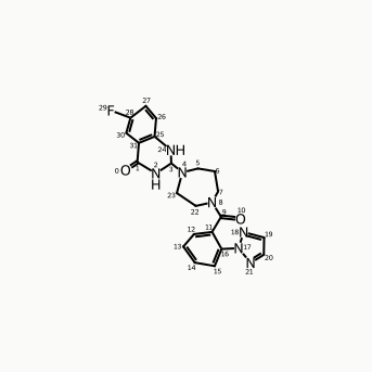 O=C1NC(N2CCCN(C(=O)c3ccccc3-n3nccn3)CC2)Nc2ccc(F)cc21